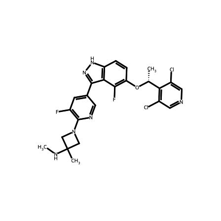 CNC1(C)CN(c2ncc(-c3n[nH]c4ccc(O[C@H](C)c5c(Cl)cncc5Cl)c(F)c34)cc2F)C1